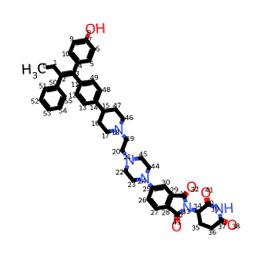 CCC(=C(c1ccc(O)cc1)c1ccc(C2CCN(CCN3CCN(c4ccc5c(c4)C(=O)N(C4CCC(=O)NC4=O)C5=O)CC3)CC2)cc1)c1ccccc1